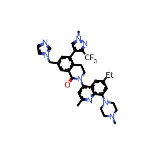 CCc1cc(N2CCN(C)CC2)c2nc(C)cc(N3CCc4c(cc(Cn5ccnc5)cc4-c4cn(C)nc4C(F)(F)F)C3=O)c2c1